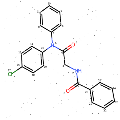 O=C(NCC(=O)N(c1ccccc1)c1ccc(Cl)cc1)c1ccccc1